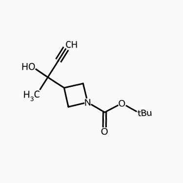 C#CC(C)(O)C1CN(C(=O)OC(C)(C)C)C1